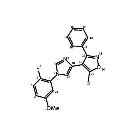 COc1ccc(F)c(-n2cnc(-c3c(-c4ccccc4)noc3C)c2)c1